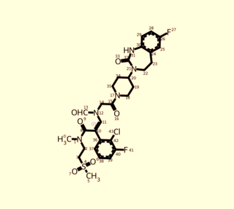 CN(CCS(C)(=O)=O)C(=O)/C(=C\N(C=O)CC(=O)N1CCC(N2CCc3cc(F)ccc3NC2=O)CC1)c1cccc(F)c1Cl